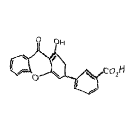 O=C(O)c1cccc(-c2cc(O)c3c(=O)c4ccccc4oc3c2)c1